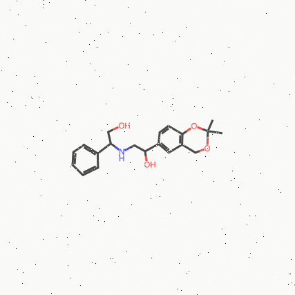 CC1(C)OCc2cc(C(O)CNC(CO)c3ccccc3)ccc2O1